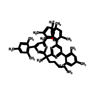 Cc1cc(C)c(-c2cc(-c3c(C)cc(C)cc3C)nc(C(N)(CCCCN)c3nc(-c4c(C)cc(C)cc4C)cc(-c4c(C)cc(C)cc4C)n3)n2)c(C)c1